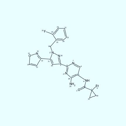 CCC1(C(=O)Nc2cnc(-c3cc(-c4ccon4)n(Cc4ccccc4F)n3)nc2N)CC1